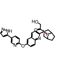 O=C(CO)N1CC2CCC(C1)N2Cc1ccc2cc(Oc3ccc(-c4ccn[nH]4)cn3)ccc2n1